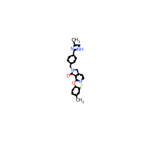 Cc1ccc(Oc2nccc3c2C(=O)N(Cc2ccc(-c4nc(C)c[nH]4)cc2)C3)c(F)c1